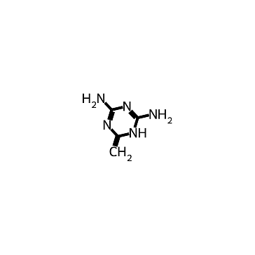 C=C1N=C(N)N=C(N)N1